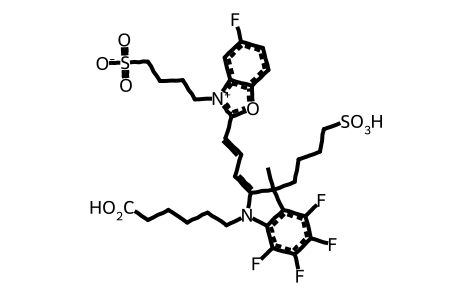 CC1(CCCCS(=O)(=O)O)/C(=C\C=C\c2oc3ccc(F)cc3[n+]2CCCCS(=O)(=O)[O-])N(CCCCCC(=O)O)c2c(F)c(F)c(F)c(F)c21